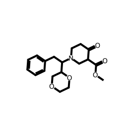 COC(=O)C1CN(C(Cc2ccccc2)C2COCCO2)CCC1=O